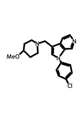 COC1CCN(Cc2cn(-c3ccc(Cl)cc3)c3cnccc23)CC1